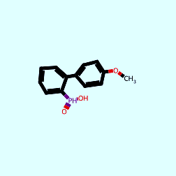 COc1ccc(-c2ccccc2[PH](=O)O)cc1